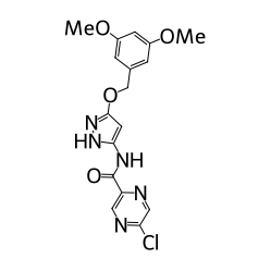 COc1cc(COc2cc(NC(=O)c3cnc(Cl)cn3)[nH]n2)cc(OC)c1